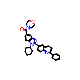 O=C(c1ccc2c(c1)nc(-c1ccc3nc(-c4ccccc4)ccc3c1)n2C1CCCCC1)N1CCOCC1